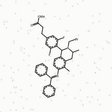 COC(=O)CCc1cc(F)c(C2c3ccc(N=C(c4ccccc4)c4ccccc4)c(C)c3CC(C)N2CC(C)C)c(F)c1